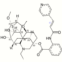 CCN1C[C@]2(OC(=O)c3ccccc3NC(=O)/C=C/c3ccncc3)CC[C@H](OC)[C@]34C1[C@@H](C[C@H]23)[C@@]1(O)C[C@H](OC)[C@H]2C[C@@H]4[C@]1(O)S2